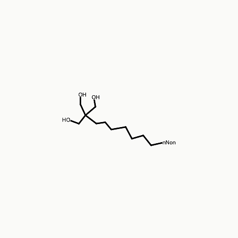 CCCCCCCCCCCCCCCCC(CO)(CO)CO